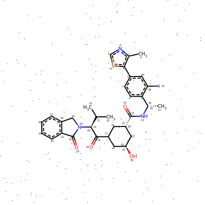 Cc1ncsc1-c1ccc([C@H](C)NC(=O)[C@H]2CC(C(=O)[C@H](C(C)C)N3Cc4ccccc4C3=O)C[C@H](O)C2)c(I)c1